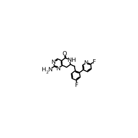 Nc1ncc2c(n1)CC(Cc1ccc(F)cc1-c1ccc(F)nc1)NC2=O